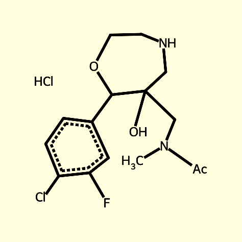 CC(=O)N(C)CC1(O)CNCCOC1c1ccc(Cl)c(F)c1.Cl